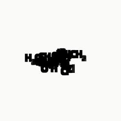 C=CCOc1cc(Cl)c(Cl)cc1C(N[S+]([O-])C(C)(C)C)[C@@H]1C[C@@H]2CN(C(=O)[C@H]3COC(C)(C)O3)C[C@@H]2C1